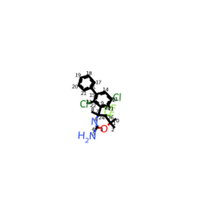 CC1(C)OC(N)=NC(C)(c2c(F)c(Cl)cc(-c3ccccc3)c2Cl)C1(F)F